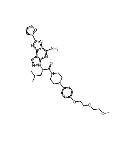 COCCOCCOc1ccc(N2CCN(C(=O)[C@@H](CC(C)C)n3ncc4c3nc(N)n3nc(-c5ccco5)nc43)CC2)cc1